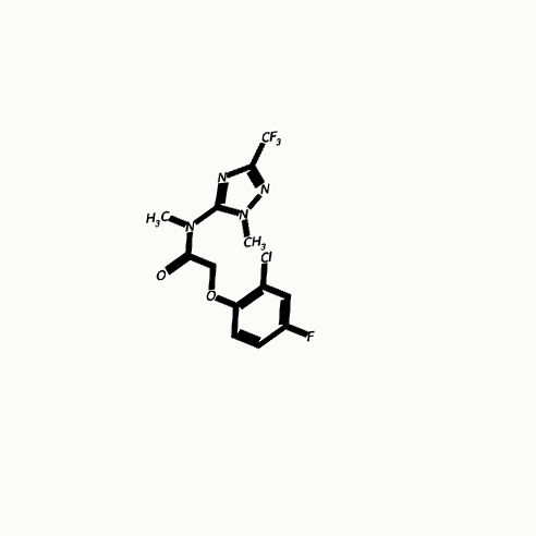 CN(C(=O)COc1ccc(F)cc1Cl)c1nc(C(F)(F)F)nn1C